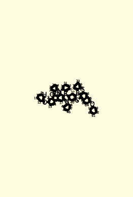 CC1(C)c2cc(Oc3ccccc3)ccc2-c2cc3c4c(c21)N(c1ccccc1)c1ccccc1B4c1cc2c(cc1N3c1ccccc1)Sc1c3c(cc4cc(Oc5ccccc5)ccc14)Sc1ccccc1B23